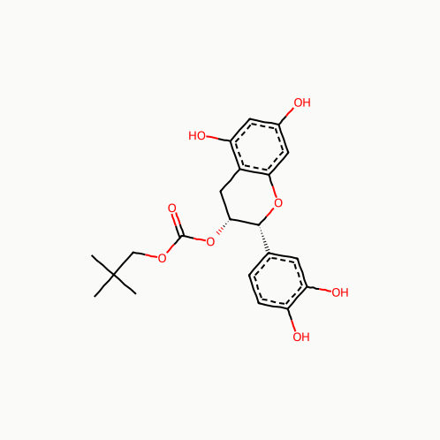 CC(C)(C)COC(=O)O[C@@H]1Cc2c(O)cc(O)cc2O[C@@H]1c1ccc(O)c(O)c1